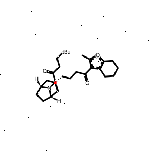 Cc1oc2c(c1C(=O)CCC[C@H]1C[C@H]3CC[C@@H](C1)N3CC(=O)CCC(C)(C)C)CCCC2